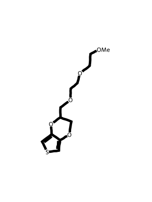 COCCOCCOCC1COc2cscc2O1